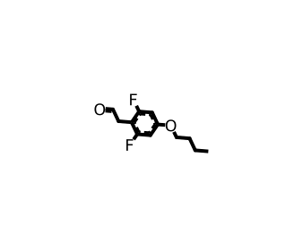 CCCCOc1cc(F)c(CC=O)c(F)c1